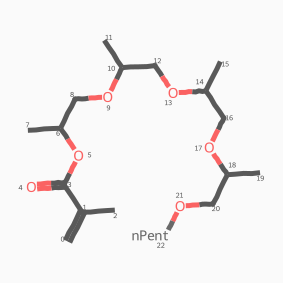 C=C(C)C(=O)OC(C)COC(C)COC(C)COC(C)COCCCCC